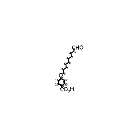 O=CCCCCCCCCCOc1ccc(C(=O)O)cc1